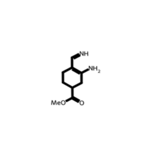 COC(=O)C1CCC(C=N)=C(N)C1